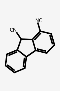 [C-]#[N+]c1cccc2c1C([N+]#[C-])c1ccccc1-2